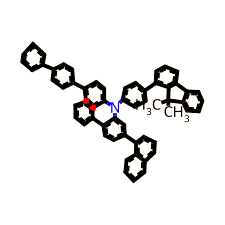 CC1(C)c2ccccc2-c2cccc(-c3ccc(N(c4ccc(-c5ccc(-c6ccccc6)cc5)cc4)c4cc(-c5cccc6ccccc56)ccc4-c4ccccc4)cc3)c21